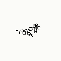 CC(C)Cn1cc(C#N)c2cc(-c3noc(=O)[nH]3)ccc21